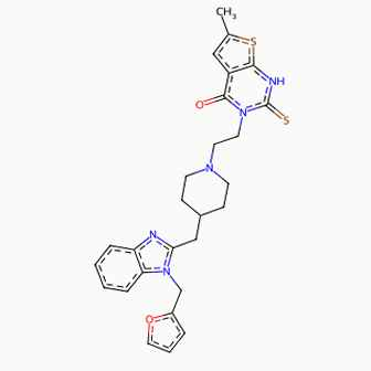 Cc1cc2c(=O)n(CCN3CCC(Cc4nc5ccccc5n4Cc4ccco4)CC3)c(=S)[nH]c2s1